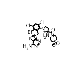 CCc1c(Cl)cc(Cl)c(N2CC[C@](N)(C(=O)N3CCS(=O)(=O)CC3)C2)c1Cn1cnc2c(N)ncnc21